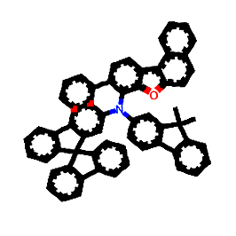 CC1(C)c2ccccc2-c2ccc(N(c3ccc4c(c3)C3(c5ccccc5-c5ccccc53)c3ccccc3-4)c3c(-c4ccccc4)ccc4c3oc3ccc5ccccc5c34)cc21